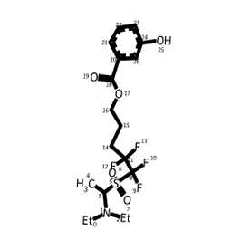 CCN(CC)C(C)S(=O)(=O)C(F)(F)C(F)(F)CCCOC(=O)c1cccc(O)c1